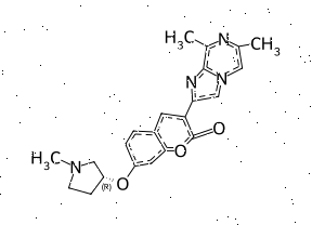 Cc1cn2cc(-c3cc4ccc(O[C@@H]5CCN(C)C5)cc4oc3=O)nc2c(C)n1